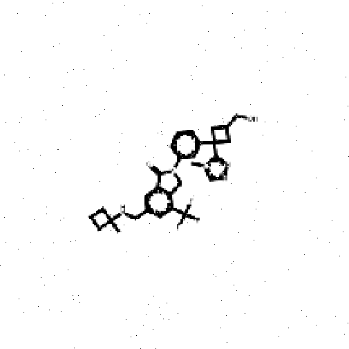 Cn1cnnc1C1(c2cccc(N3Cc4c(cc(CNC5(C)CCC5)cc4C(F)(F)F)C3=O)c2)CC(CO)C1